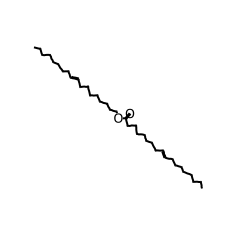 CCCCCCCCC=CCCCCCCCCOC(=O)CCCCCCCC=CCCCCCCCC